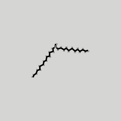 CCCCCCCCCCCCCCN(C)CCCCCCCCCCCC